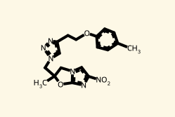 Cc1ccc(OCCc2cn(CC3(C)Cn4cc([N+](=O)[O-])nc4O3)nn2)cc1